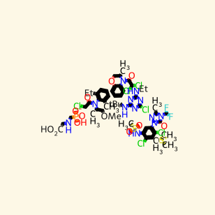 CC1COc2ccccc2N1C(=O)C(Cl)Cl.CCNc1nc(Cl)nc(NC(C)(C)C)n1.CCc1cccc(C)c1N(C(=O)CCl)C(C)COC.C[S+](C)C.Cc1nn(-c2cc(NS(C)(=O)=O)c(Cl)cc2Cl)c(=O)n1C(F)F.O=C(O)CNCP(=O)([O-])O